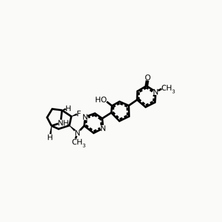 CN(c1cnc(-c2ccc(-c3ccn(C)c(=O)c3)cc2O)cn1)[C@H]1C[C@@H]2CC[C@@H](N2)[C@H]1F